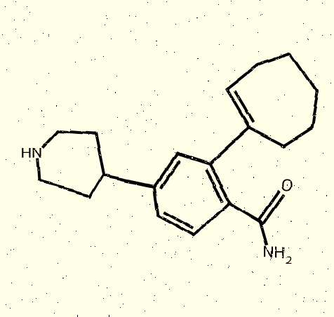 NC(=O)c1ccc(C2CCNCC2)cc1C1=CCCCCC1